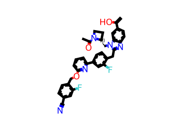 C=C(O)c1ccc2nc(Cc3ccc(-c4cccc(OCc5ccc(C#N)cc5F)n4)cc3F)n(C[C@H]3CCN3C(C)=O)c2c1